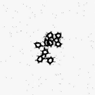 c1ccc(N(c2ccc3c(c2)oc2cccc(C4(c5ccccc5)c5ccccc5-c5ccccc54)c23)c2ccc3c(c2)c2ccccc2n3-c2ccccc2)cc1